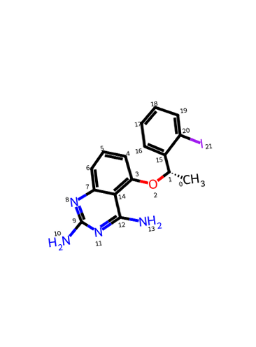 C[C@H](Oc1cccc2nc(N)nc(N)c12)c1ccccc1I